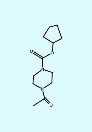 [CH2]C(=O)N1CCN(C(=O)OC2CCCC2)CC1